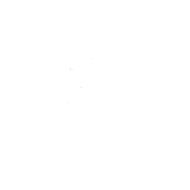 O=S(=O)(Nc1ccnc(SCc2cccc(F)c2F)n1)N1CCC1